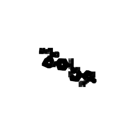 CNC(=O)[C@H]1CCCN1c1ccc(Nc2nccc(-c3cnc(C)n3C(C)C)n2)cc1